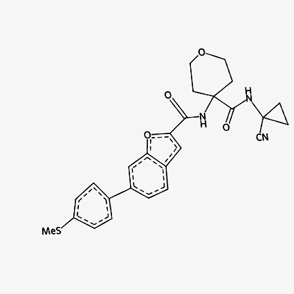 CSc1ccc(-c2ccc3cc(C(=O)NC4(C(=O)NC5(C#N)CC5)CCOCC4)oc3c2)cc1